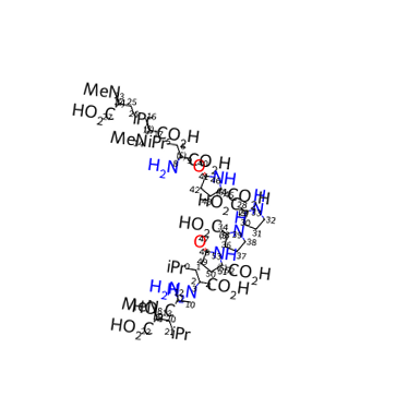 CC(C)CC(N)C(=O)O.CC(C)C[C@H](N)C(=O)O.CC(N)C(=O)O.CN[C@@H](C)C(=O)O.CN[C@@H](CC(C)C)C(=O)O.CN[C@@H](CC(C)C)C(=O)O.O=C(O)[C@@H]1CCCN1.O=C(O)[C@@H]1CCCN1.O=C1CC[C@@H](C(=O)O)N1.O=C1CC[C@@H](C(=O)O)N1